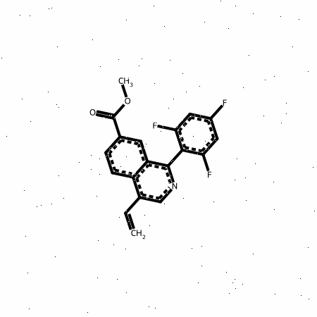 C=Cc1cnc(-c2c(F)cc(F)cc2F)c2cc(C(=O)OC)ccc12